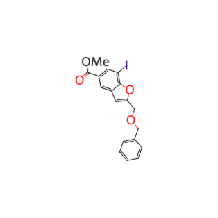 COC(=O)c1cc(I)c2oc(COCc3ccccc3)cc2c1